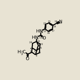 CC(=O)C1C2CC3CC1CC(NC(=O)Nc1ccc(C#N)cc1)(C3)C2